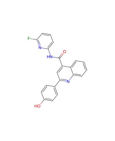 O=C(Nc1cccc(F)n1)c1cc(-c2ccc(O)cc2)nc2ccccc12